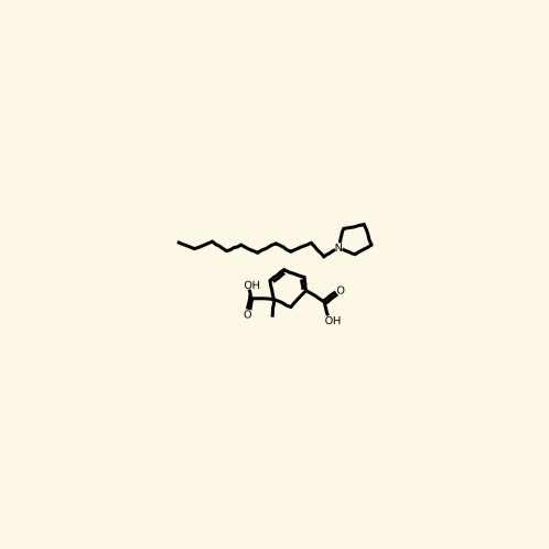 CC1(C(=O)O)C=CC=C(C(=O)O)C1.CCCCCCCCCCN1CCCC1